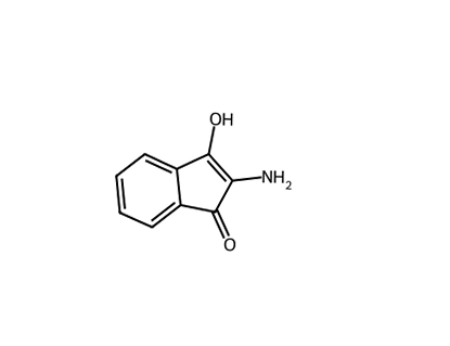 NC1=C(O)c2ccccc2C1=O